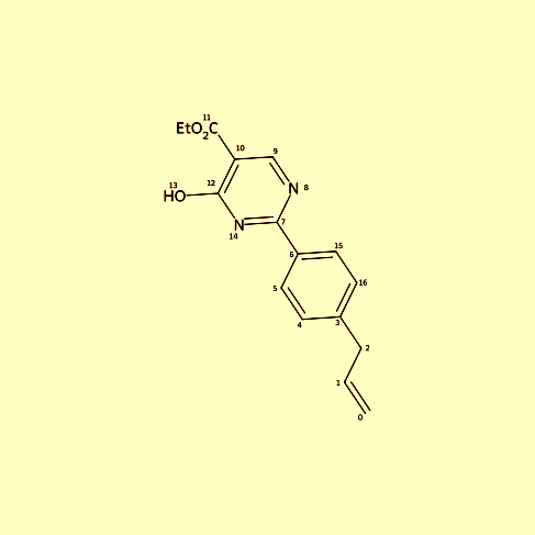 C=CCc1ccc(-c2ncc(C(=O)OCC)c(O)n2)cc1